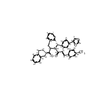 O=C(C(Cc1ccccc1)N(Cc1ccc(-c2cnco2)cc1)C(=O)C=Cc1ccc(C(F)(F)F)cc1)N1CCc2ccccc2C1